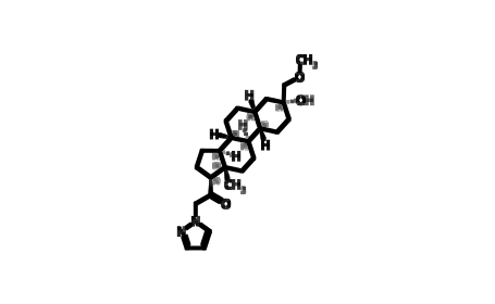 COC[C@@]1(O)CC[C@H]2[C@H](CC[C@@H]3[C@@H]2CC[C@]2(C)[C@@H](C(=O)Cn4cccn4)CC[C@@H]32)C1